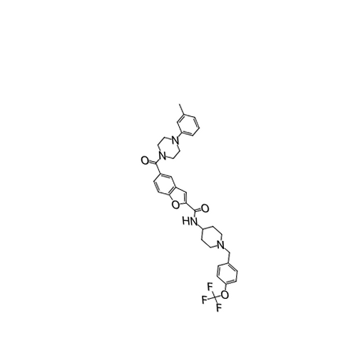 Cc1cccc(N2CCN(C(=O)c3ccc4oc(C(=O)NC5CCN(Cc6ccc(OC(F)(F)F)cc6)CC5)cc4c3)CC2)c1